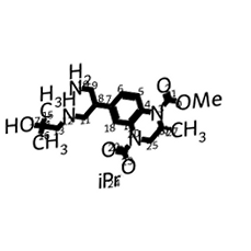 COC(=O)N1c2ccc(C(CN)CNCC(C)(C)O)cc2N(C(=O)OC(C)C)C[C@@H]1C